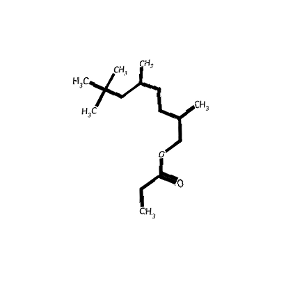 CCC(=O)OCC(C)CCC(C)CC(C)(C)C